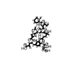 CC[C@@H](C[C@@H](OC(C)=O)c1nc(C(=O)N[C@@H](Cc2ccc(OC(=O)OP(=O)(O)O)c(NC(=O)CCC(C)(C)S)c2)CC(C)C(=O)O)cs1)N(C)C(=O)[C@@H](NC(=O)[C@H]1CCCCN1C)[C@@H](C)CC